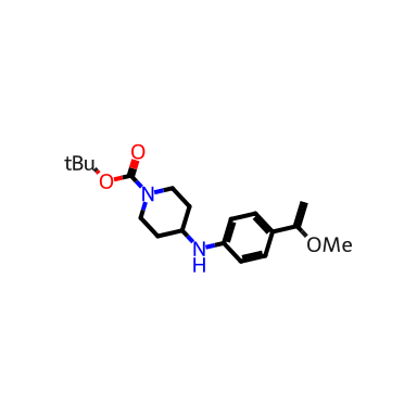 C=C(OC)c1ccc(NC2CCN(C(=O)OC(C)(C)C)CC2)cc1